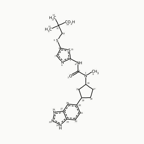 CN(C(=O)Nc1ncc(SCC(C)(C)C(=O)O)s1)C1CCC(c2ccc3[nH]nnc3c2)C1